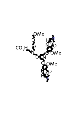 C/C=C1\C[C@H]2C=Nc3cc(OCc4cc(OCCN(CCCC(=O)O)CCOCCOCCOC)cc(COc5cc6c(cc5OC)C(=O)N5C/C(=C/C)C[C@H]5C=N6)n4)c(OC)cc3C(=O)N2C1